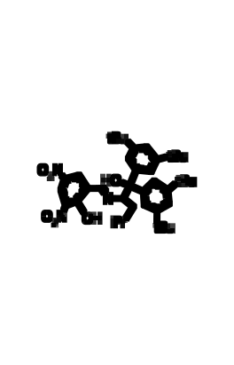 CC(C)CC(N=Cc1cc([N+](=O)[O-])cc([N+](=O)[O-])c1O)C(O)(c1cc(C(C)(C)C)cc(C(C)(C)C)c1)c1cc(C(C)(C)C)cc(C(C)(C)C)c1